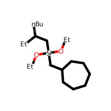 CCCCC(CC)C[Si]([CH]C1CCCCCC1)(OCC)OCC